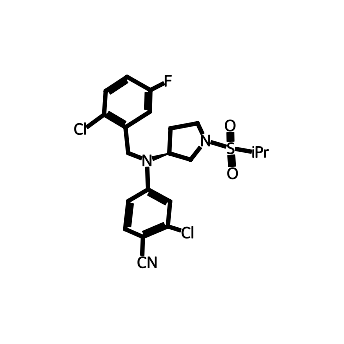 CC(C)S(=O)(=O)N1CC[C@H](N(Cc2cc(F)ccc2Cl)c2ccc(C#N)c(Cl)c2)C1